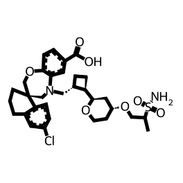 CC(CO[C@@H]1CCO[C@@H]([C@@H]2CC[C@H]2CN2C[C@@]3(CCCc4cc(Cl)ccc43)COc3ccc(C(=O)O)cc32)C1)S(N)(=O)=O